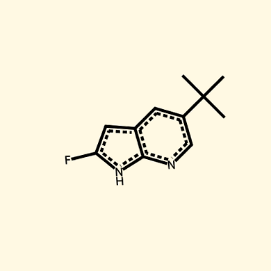 CC(C)(C)c1cnc2[nH]c(F)cc2c1